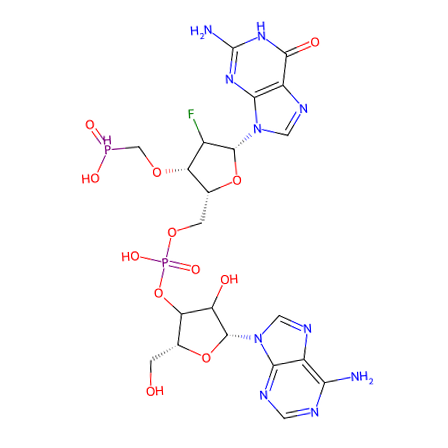 Nc1nc2c(ncn2[C@@H]2O[C@H](COP(=O)(O)OC3C(O)[C@H](n4cnc5c(N)ncnc54)O[C@@H]3CO)[C@H](OC[PH](=O)O)C2F)c(=O)[nH]1